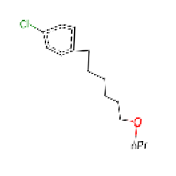 [CH2]CCOCCCCCCc1ccc(Cl)cc1